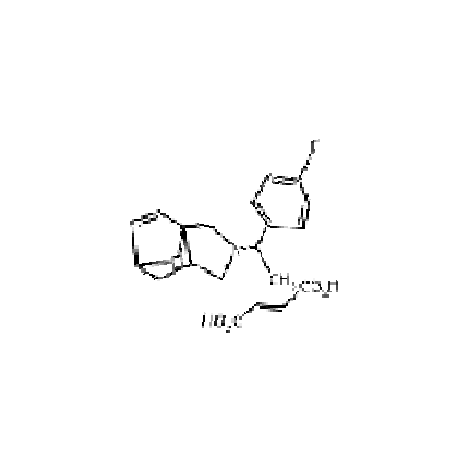 CC(c1ccc(F)cc1)N1CC2CC3C=CC2(C1)O3.O=C(O)C=CC(=O)O